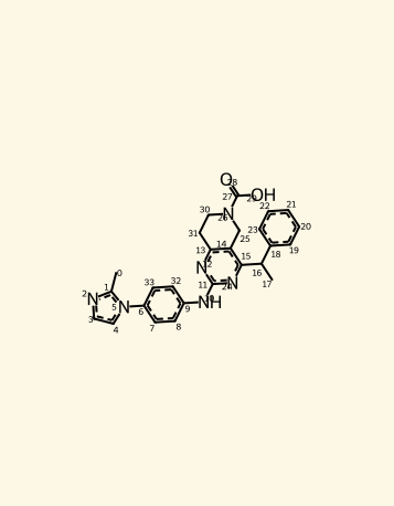 Cc1nccn1-c1ccc(Nc2nc3c(c(C(C)c4ccccc4)n2)CN(C(=O)O)CC3)cc1